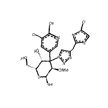 CO[C@H]1[C@@H](S)O[C@H](CO)[C@H](O)C1(c1cnc(C#N)c(Cl)c1)n1cc(-c2nc(Cl)cs2)nn1